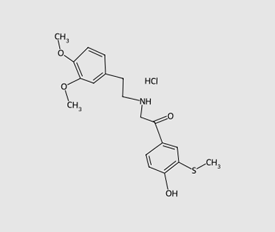 COc1ccc(CCNCC(=O)c2ccc(O)c(SC)c2)cc1OC.Cl